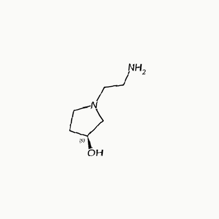 NCCN1CC[C@H](O)C1